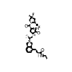 CCNC(=O)CCc1cccc2c1CN(C(=O)C[C@@H]1C[C@@H](C(=O)N3CC(C)(F)C[C@H]3C#N)NC1=O)C2